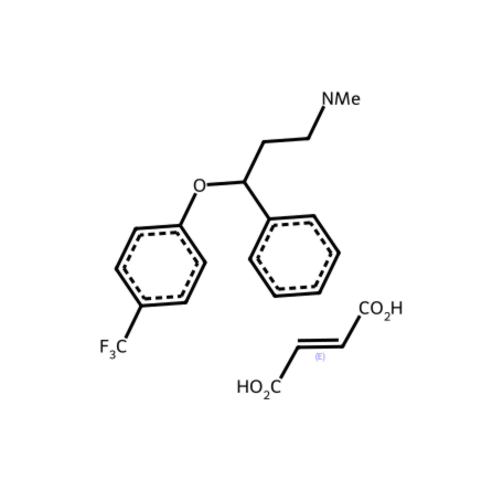 CNCCC(Oc1ccc(C(F)(F)F)cc1)c1ccccc1.O=C(O)/C=C/C(=O)O